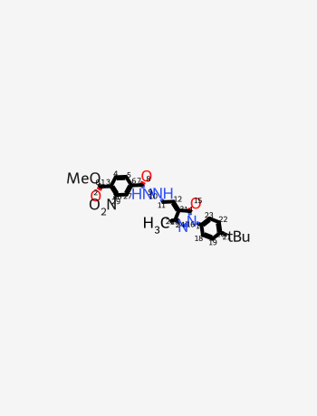 COC(=O)c1ccc(C(=O)NNCC=C2C(=O)N(c3ccc(C(C)(C)C)cc3)N=C2C)cc1[N+](=O)[O-]